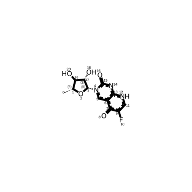 C[C@H]1O[C@@H](n2cc3c(=O)c(F)c[nH]c3nc2=O)[C@@H](O)C1O